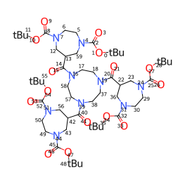 CC(C)(C)OC(=O)N1CCN(C(=O)OC(C)(C)C)CC(C(=O)N2CCN(C(=O)C3CN(C(=O)OC(C)(C)C)CCN(C(=O)OC(C)(C)C)C3)CCN(C(=O)C3CN(C(=O)OC(C)(C)C)CCN(C(=O)OC(C)(C)C)C3)CC2)C1